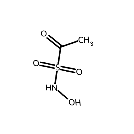 CC(=O)S(=O)(=O)NO